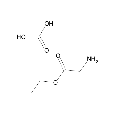 CCOC(=O)CN.O=C(O)O